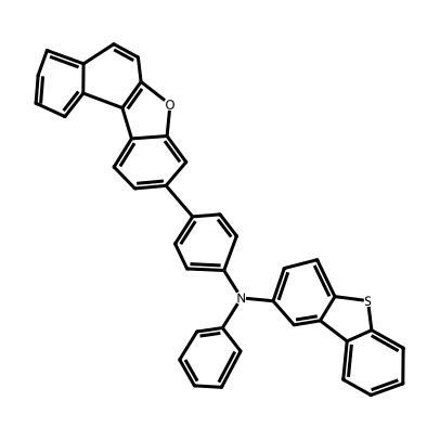 c1ccc(N(c2ccc(-c3ccc4c(c3)oc3ccc5ccccc5c34)cc2)c2ccc3sc4ccccc4c3c2)cc1